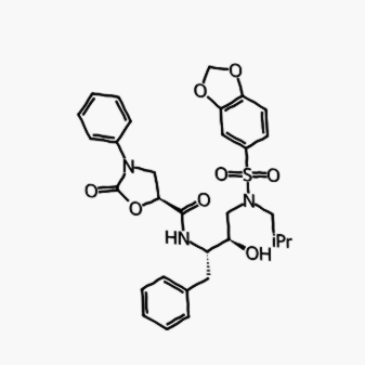 CC(C)CN(C[C@@H](O)[C@H](Cc1ccccc1)NC(=O)[C@@H]1CN(c2ccccc2)C(=O)O1)S(=O)(=O)c1ccc2c(c1)OCO2